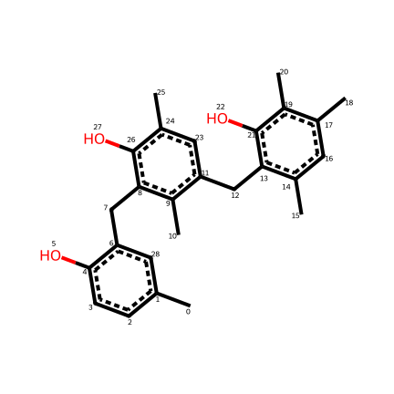 Cc1ccc(O)c(Cc2c(C)c(Cc3c(C)cc(C)c(C)c3O)cc(C)c2O)c1